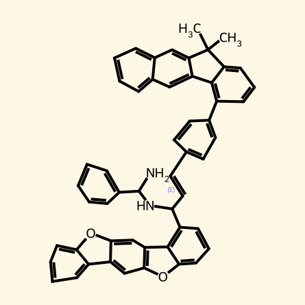 CC1(C)c2cc3ccccc3cc2-c2c(-c3ccc(/C=C/C(NC(N)c4ccccc4)c4cccc5oc6cc7c(cc6c45)oc4ccccc47)cc3)cccc21